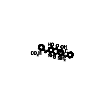 Nc1c(Sc2ccccc2C(=O)O)cc(O)c2c1C(=O)c1c(N)c(Sc3ccccc3C(=O)O)cc(O)c1C2=O